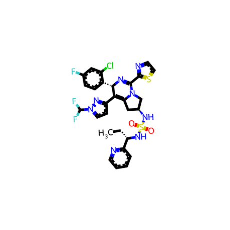 CC[C@H](NS(=O)(=O)N[C@H]1CC2=C(c3ccn(C(F)F)n3)[C@H](c3ccc(F)cc3Cl)N=C(c3nccs3)N2C1)c1ccccn1